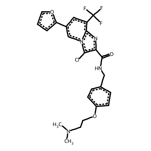 CN(C)CCOc1ccc(CNC(=O)c2nc3c(C(F)(F)F)cc(-c4ccco4)cn3c2Cl)cc1